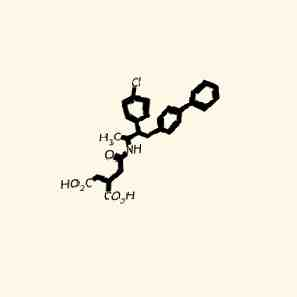 CC(NC(=O)CC(CC(=O)O)C(=O)O)C(Cc1ccc(-c2ccccc2)cc1)c1ccc(Cl)cc1